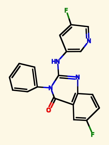 O=c1c2cc(F)ccc2nc(Nc2cncc(F)c2)n1-c1ccccc1